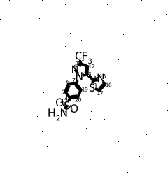 NS(=O)(=O)c1ccc(-n2nc(C(F)(F)F)cc2-c2nccs2)cc1